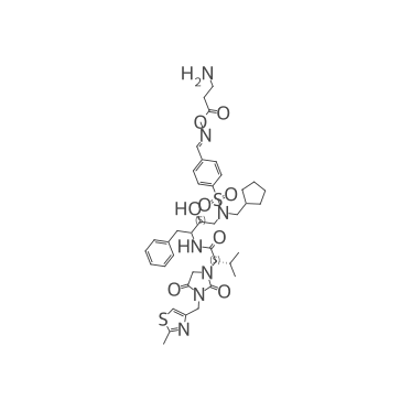 Cc1nc(CN2C(=O)CN([C@H](C(=O)NC(Cc3ccccc3)[C@@H](O)CN(CC3CCCC3)S(=O)(=O)c3ccc(C=NOC(=O)CCN)cc3)C(C)C)C2=O)cs1